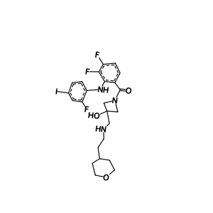 O=C(c1ccc(F)c(F)c1Nc1ccc(I)cc1F)N1CC(O)(CNCCC2CCOCC2)C1